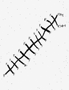 OC(O)(F)C(F)(F)C(F)(F)C(F)(F)C(F)(F)C(F)(F)C(F)(F)C(F)(F)C(F)(F)C(F)(F)C(F)(F)F